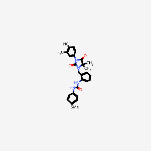 CSc1ccc(NC(=O)Nc2ccccc2CN2C(=O)N(c3ccc(C#N)c(C(F)(F)F)c3)C(=O)C2(C)C)cc1